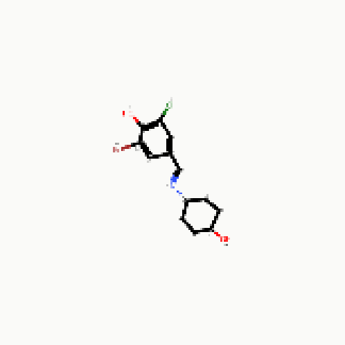 Oc1c(Cl)cc(C=N[C@H]2CC[C@H](O)CC2)cc1Br